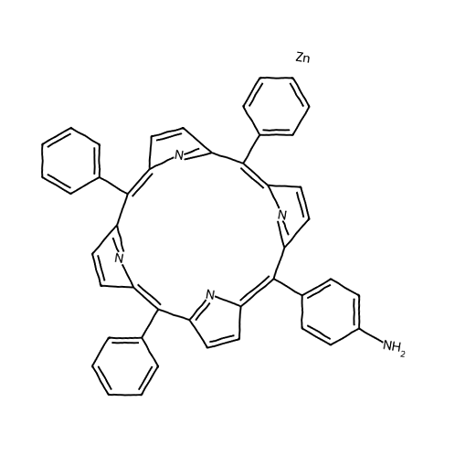 Nc1ccc(C2=C3C=CC(=N3)C(c3ccccc3)=C3C=CC(=N3)C(c3ccccc3)=C3C=CC(=N3)C(c3ccccc3)=C3C=CC2=N3)cc1.[Zn]